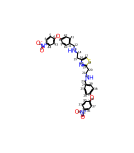 O=[N+]([O-])c1ccc(Oc2ccc(CNCCc3csc(CCNCc4ccc(Oc5ccc([N+](=O)[O-])cc5)cc4)n3)cc2)cc1